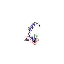 CN1CCN(c2nc(-c3ccc(C(=O)NC(CC(C)(C)C)C(=O)N4C[C@H](C(F)F)[C@H]5OCC(=O)[C@H]54)cc3)cs2)CC1